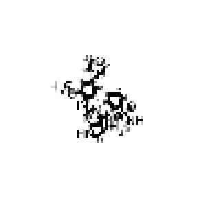 CNS(=O)(=O)c1ccccc1Nc1nc(Nc2ccc(N3CCOCC3)cc2OC)nc2c1CCN2